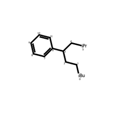 CCC(C)CCC(CC(C)C)c1ccccc1